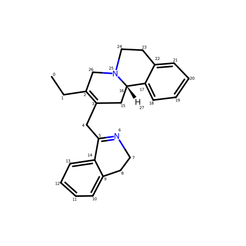 CCC1=C(CC2=NCCc3ccccc32)C[C@H]2c3ccccc3CCN2C1